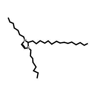 CCCCCCCCCCCCCCCC1N(CCCCCCC)C=CN1CCCCCCCC